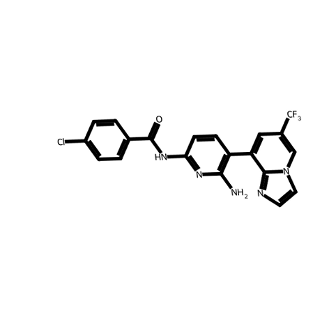 Nc1nc(NC(=O)c2ccc(Cl)cc2)ccc1-c1cc(C(F)(F)F)cn2ccnc12